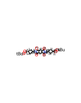 CC(C)(C)OOC(C)(C)c1ccc(C(C)(C)n2c(=O)c3cc4c(=O)n(C(C)(C)c5ccc(C(C)(C)OOC(C)(C)C)cc5)c(=O)c4cc3c2=O)cc1